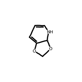 C1=CN[C]2OCOC2=C1